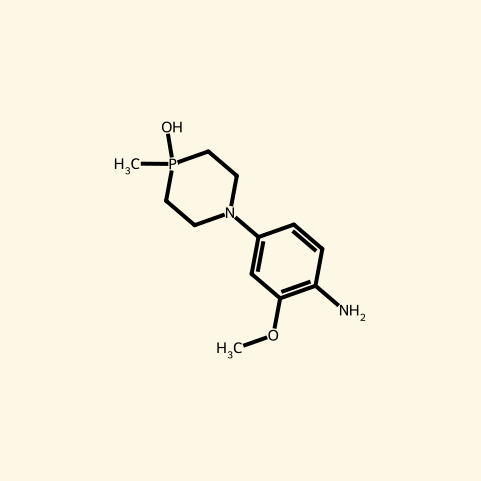 COc1cc(N2CC[P](C)(O)CC2)ccc1N